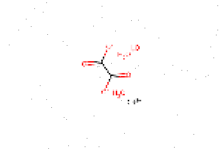 O.O.O.O=C([O-])C(=O)[O-].[Cd+2]